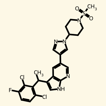 CC(c1c(Cl)ccc(F)c1Cl)c1c[nH]c2ncc(-c3cnn(C4CCN(S(C)(=O)=O)CC4)c3)cc12